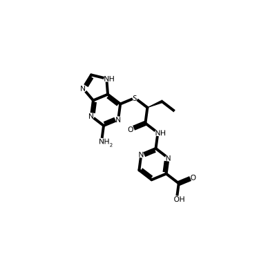 CC[C@H](Sc1nc(N)nc2nc[nH]c12)C(=O)Nc1nccc(C(=O)O)n1